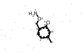 Cc1ccc(CON)c(Cl)c1